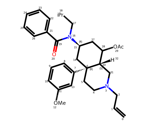 C=CCN1CC[C@@]2(c3cccc(OC)c3)C[C@@H](N(CC(C)C)C(=O)c3ccccc3)CC(OC(C)=O)[C@@H]2C1